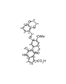 COc1cc(F)c(-n2c(=O)[nH]c3csc(C(=O)O)c3c2=O)cc1OCc1cccc2c1OCCO2